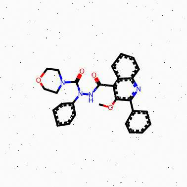 COc1c(-c2ccccc2)nc2ccccc2c1C(=O)NN(C(=O)N1CCOCC1)c1ccccc1